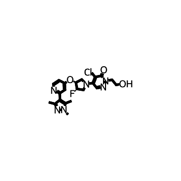 Cc1nn(C)c(C)c1-c1cc(O[C@H]2CN(c3cnn(CCO)c(=O)c3Cl)C[C@@H]2F)ccn1